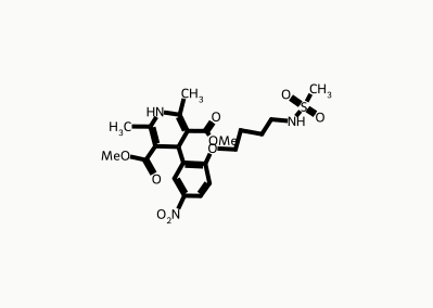 COC(=O)C1=C(C)NC(C)=C(C(=O)OC)C1c1cc([N+](=O)[O-])ccc1OCCCCNS(C)(=O)=O